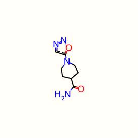 NC(=O)C1CCN(c2cnno2)CC1